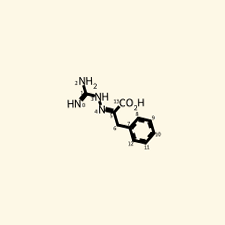 N=C(N)N/N=C(/Cc1ccccc1)C(=O)O